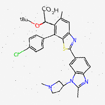 Cc1cc2nc(-c3ccc4nc(C)n(C5CCN(C)C5)c4c3)sc2c(-c2ccc(Cl)cc2)c1C(OC(C)(C)C)C(=O)O